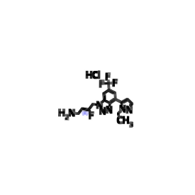 CCn1nccc1-c1cc(C(F)(F)F)cc2c1nnn2C/C(F)=C/CN.Cl